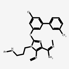 C=Nc1c(/C(N)=N\C)nc(Sc2cc(Cl)cc(-c3cccc(C(F)(F)F)c3)c2)n1CCCNC(C)C